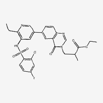 CCOC(=O)C(C)Cn1cnc2ccc(-c3cnc(CC)c(NS(=O)(=O)c4ccc(F)cc4Cl)c3)cc2c1=O